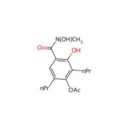 CCCc1cc(C(=O)N(C)O)c(O)c(CCC)c1OC(C)=O